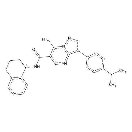 Cc1c(C(=O)N[C@H]2CCCc3ccccc32)cnc2c(-c3ccc(C(C)C)cc3)cnn12